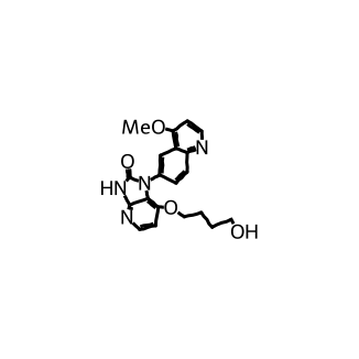 COc1ccnc2ccc(-n3c(=O)[nH]c4nccc(OCCCCO)c43)cc12